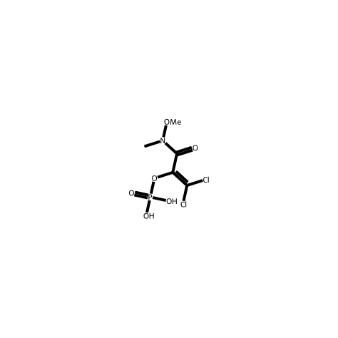 CON(C)C(=O)C(OP(=O)(O)O)=C(Cl)Cl